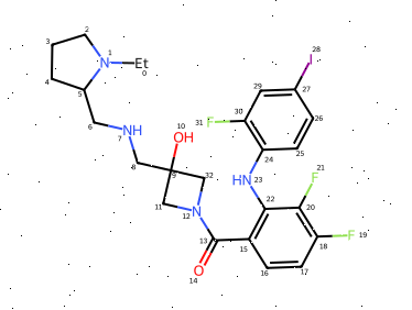 CCN1CCCC1CNCC1(O)CN(C(=O)c2ccc(F)c(F)c2Nc2ccc(I)cc2F)C1